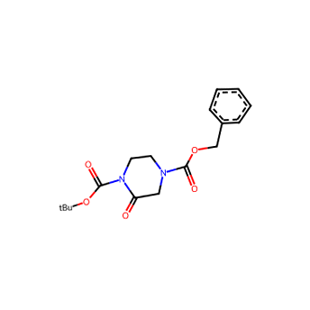 CC(C)(C)OC(=O)N1CCN(C(=O)OCc2ccccc2)CC1=O